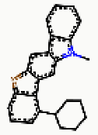 Cn1c2ccccc2c2cc3sc4cccc(C5CCCCC5)c4c3cc21